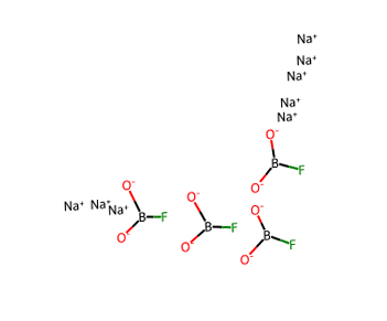 [Na+].[Na+].[Na+].[Na+].[Na+].[Na+].[Na+].[Na+].[O-]B([O-])F.[O-]B([O-])F.[O-]B([O-])F.[O-]B([O-])F